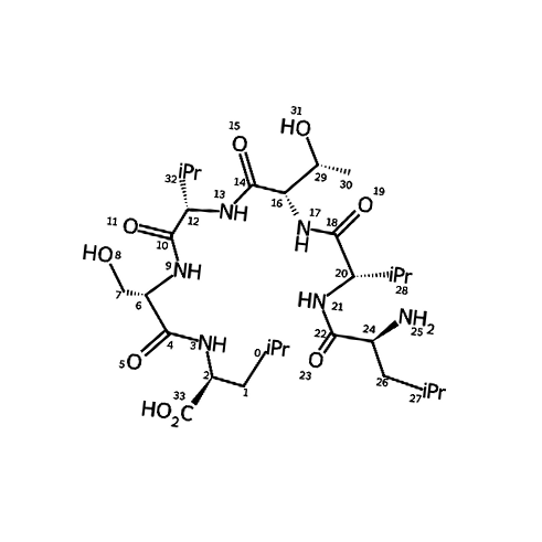 CC(C)C[C@H](NC(=O)[C@H](CO)NC(=O)[C@@H](NC(=O)[C@@H](NC(=O)[C@@H](NC(=O)[C@@H](N)CC(C)C)C(C)C)[C@@H](C)O)C(C)C)C(=O)O